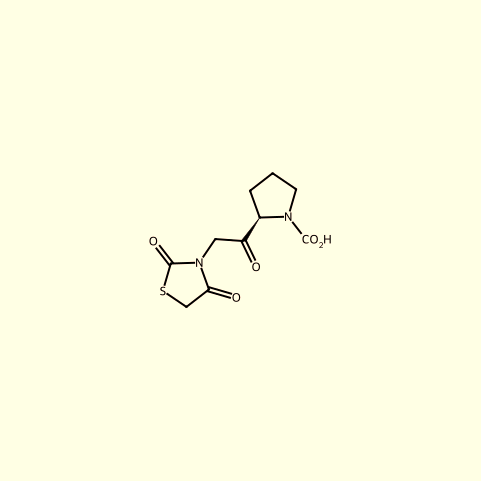 O=C(CN1C(=O)CSC1=O)[C@H]1CCCN1C(=O)O